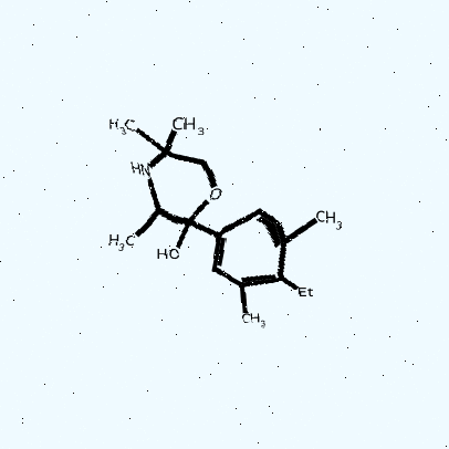 CCc1c(C)cc(C2(O)OCC(C)(C)NC2C)cc1C